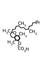 Cc1cc(OCC(=O)O)c(C)c2c1O[C@](C)(CCC[C@H](C)CCC[C@H](C)CCCC(C)C)CC2